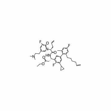 C=CCCCCc1cc(F)cc(C)c1-c1cc(C2CC2)c(F)c([C@H](CC(=O)OCC)NC(=O)[C@H](CC=C)n2cc(CCN(C)C)cc(F)c2=O)c1